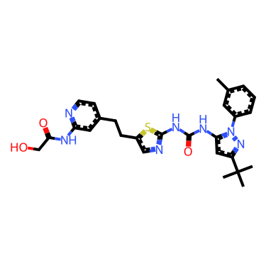 Cc1cccc(-n2nc(C(C)(C)C)cc2NC(=O)Nc2ncc(CCc3ccnc(NC(=O)CO)c3)s2)c1